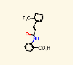 O=C(/C=C/c1ccccc1C(F)(F)F)Nc1ccccc1C(=O)O